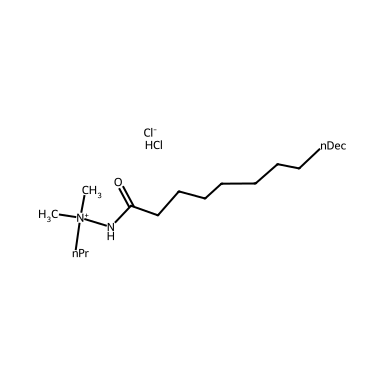 CCCCCCCCCCCCCCCCCC(=O)N[N+](C)(C)CCC.Cl.[Cl-]